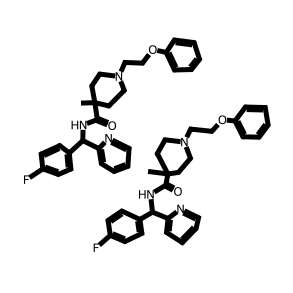 CC1(C(=O)NC(c2ccc(F)cc2)c2ccccn2)CCN(CCOc2ccccc2)CC1.CC1(C(=O)NC(c2ccc(F)cc2)c2ccccn2)CCN(CCOc2ccccc2)CC1